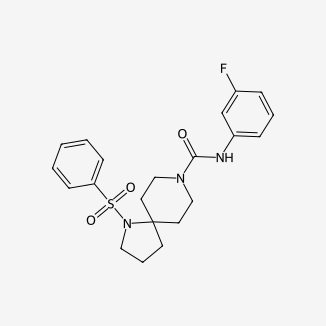 O=C(Nc1cccc(F)c1)N1CCC2(CCCN2S(=O)(=O)c2ccccc2)CC1